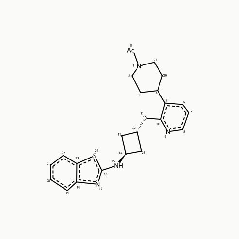 CC(=O)N1CCC(c2cccnc2O[C@H]2C[C@H](Nc3nc4ccccc4s3)C2)CC1